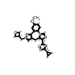 COc1ccc2c(c1)-c1nn(CC3COC3)cc1Cc1c(-c3nc(C4CC4)no3)ncn1-2